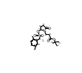 Cc1ccc(C)c([C@@H](C)S(=O)(=O)OC2CCC(=O)N2CCC(=O)OC(C)(C)C)c1